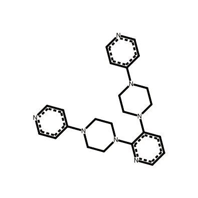 c1cnc(N2CCN(c3ccncc3)CC2)c(N2CCN(c3ccncc3)CC2)c1